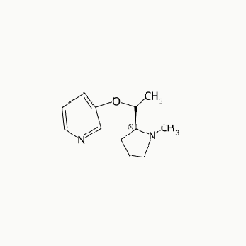 CC(Oc1cccnc1)[C@@H]1CCCN1C